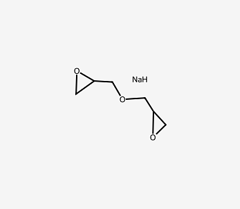 C(OCC1CO1)C1CO1.[NaH]